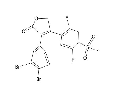 CS(=O)(=O)c1cc(F)c(C2=C(c3ccc(Br)c(Br)c3)C(=O)OC2)cc1F